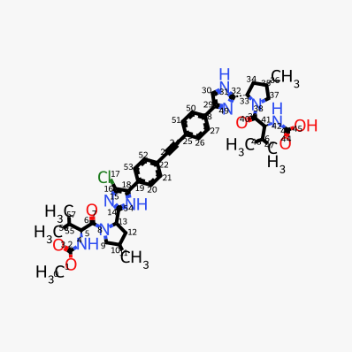 COC(=O)N[C@H](C(=O)N1CC(C)CC1c1nc(Cl)c(-c2ccc(C#Cc3ccc(-c4c[nH]c([C@@H]5C[C@H](C)CN5C(=O)[C@@H](NC(=O)O)C(C)C)n4)cc3)cc2)[nH]1)C(C)C